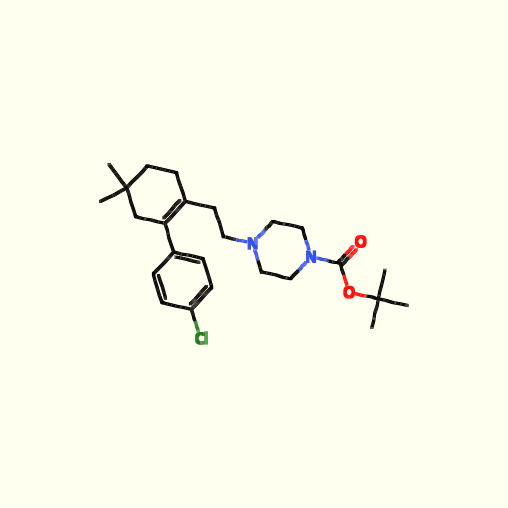 CC1(C)CCC(CCN2CCN(C(=O)OC(C)(C)C)CC2)=C(c2ccc(Cl)cc2)C1